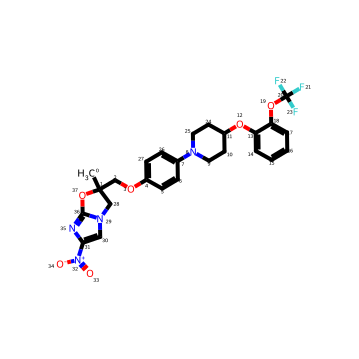 CC1(COc2ccc(N3CCC(Oc4ccccc4OC(F)(F)F)CC3)cc2)Cn2cc([N+](=O)[O-])nc2O1